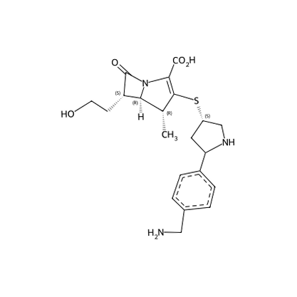 C[C@H]1C(S[C@@H]2CNC(c3ccc(CN)cc3)C2)=C(C(=O)O)N2C(=O)[C@@H](CCO)[C@H]12